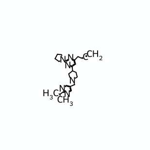 C=C=CCc1cc(C2CCN(Cc3cnc(C(C)C)nc3)CC2)nc(N2CCCC2)n1